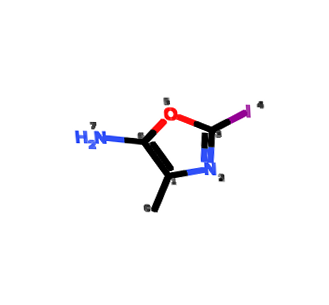 Cc1nc(I)oc1N